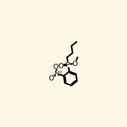 CCCCP(=O)(OC)c1ccccc1[N+](=O)[O-]